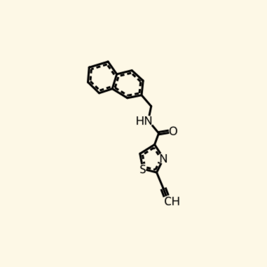 C#Cc1nc(C(=O)NCc2ccc3ccccc3c2)cs1